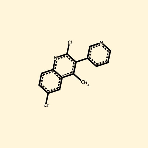 CCc1ccc2nc(Cl)c(-c3cccnc3)c(C)c2c1